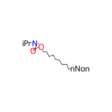 CCCCCCCCCCCCCCCCCCOC(=O)[N]C(C)C